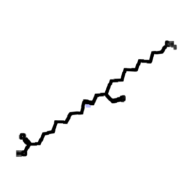 CCCCCCCCCC(C=O)C/C=C/CCCCCCCC(=O)O